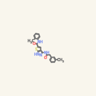 Cc1cccc(CC(=O)Nc2n[nH]c3sc(C(=O)Nc4ccccc4C)cc23)c1